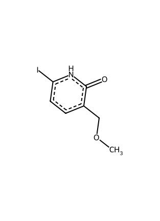 COCc1ccc(I)[nH]c1=O